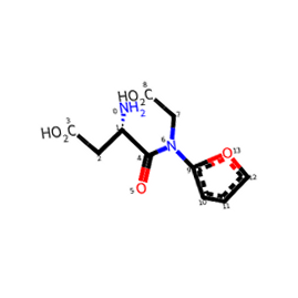 N[C@@H](CC(=O)O)C(=O)N(CC(=O)O)c1ccco1